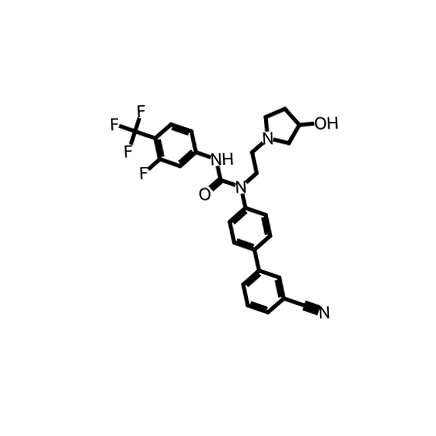 N#Cc1cccc(-c2ccc(N(CCN3CCC(O)C3)C(=O)Nc3ccc(C(F)(F)F)c(F)c3)cc2)c1